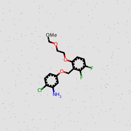 COCOCCOc1ccc(F)c(F)c1COc1ccc(Cl)c(N)c1